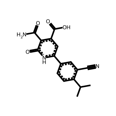 CC(C)c1ccc(-c2cc(C(=O)O)c(C(N)=O)c(=O)[nH]2)cc1C#N